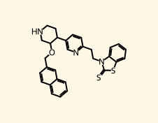 S=c1sc2ccccc2n1CCc1ccc(C2CCNCC2OCc2ccc3ccccc3c2)cn1